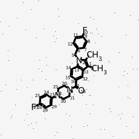 Cc1c(C)n(Cc2ccc(F)cc2)c2ccc(C(=O)N3CCN(c4ccc(F)cc4)CC3)cc12